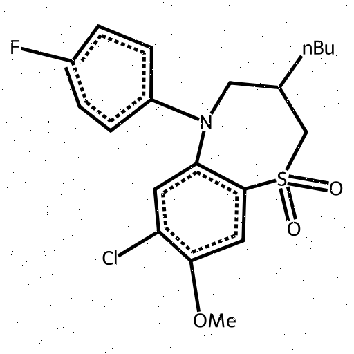 CCCCC1CN(c2ccc(F)cc2)c2cc(Cl)c(OC)cc2S(=O)(=O)C1